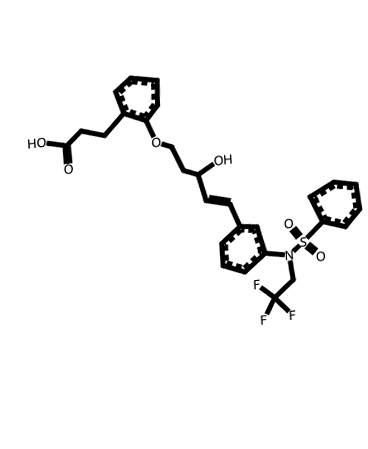 O=C(O)CCc1ccccc1OCCC(O)/C=C/c1cccc(N(CC(F)(F)F)S(=O)(=O)c2ccccc2)c1